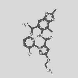 Cc1nc2cc(C(N)=O)c(NC(=O)c3cc(OCC(F)(F)F)nn3-c3ncccc3Cl)c(C)c2s1